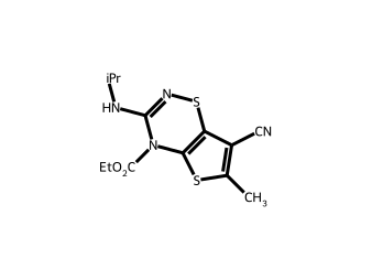 CCOC(=O)N1C(NC(C)C)=NSc2c1sc(C)c2C#N